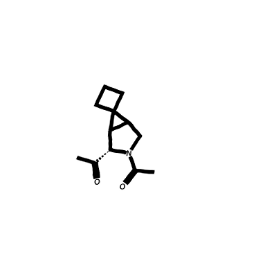 CC(=O)[C@@H]1C2C(CN1C(C)=O)C21CCC1